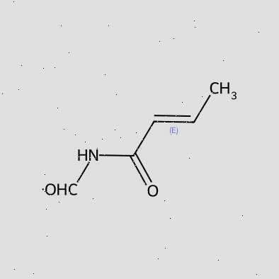 C/C=C/C(=O)N[C]=O